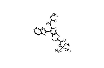 C=CC(=O)Nc1sc2c(c1-c1nc3ccccc3s1)CCN(C(=O)OC(C)(C)C)C2